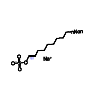 CCCCCCCCCCCCCCCC/C=C/OS(=O)(=O)[O-].[Na+]